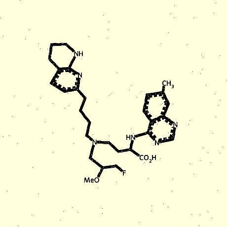 COC(CF)CN(CCCCc1ccc2c(n1)NCCC2)CCC(Nc1ncnc2cc(C)ccc12)C(=O)O